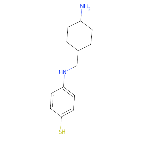 NC1CCC(CNc2ccc(S)cc2)CC1